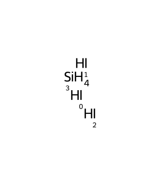 I.I.I.[SiH4]